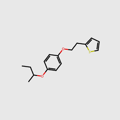 CCC(C)Oc1ccc(OCCc2cccs2)cc1